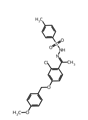 COc1ccc(COc2ccc(C(C)=NNS(=O)(=O)c3ccc(C)cc3)c(Cl)c2)cc1